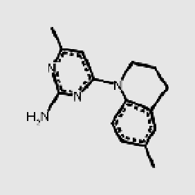 Cc1ccc2c(c1)CCCN2c1cc(C)nc(N)n1